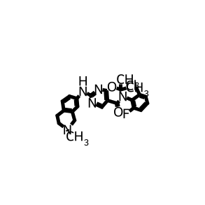 CN1CCc2ccc(Nc3ncc4c(n3)OC(C)(C)N(c3c(F)cccc3Cl)C4=O)cc2C1